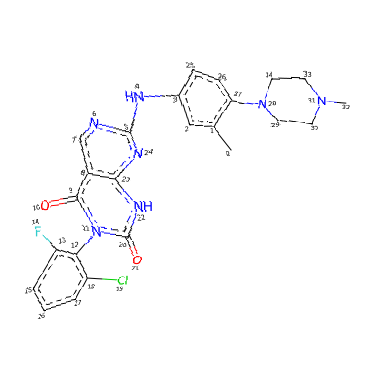 Cc1cc(Nc2ncc3c(=O)n(-c4c(F)cccc4Cl)c(=O)[nH]c3n2)ccc1N1CCN(C)CC1